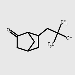 O=C1CC2CC(CC(O)(C(F)(F)F)C(F)(F)F)C1C2